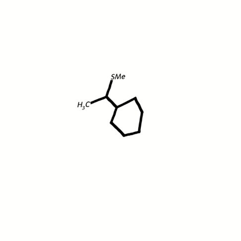 CSC(C)C1CCCCC1